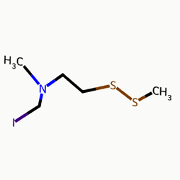 CSSCCN(C)CI